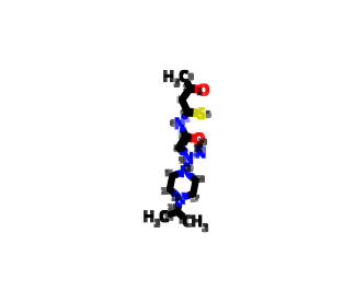 CC(=O)CC(=S)[N-]c1c[n+](N2CCN(C(C)C)CC2)no1